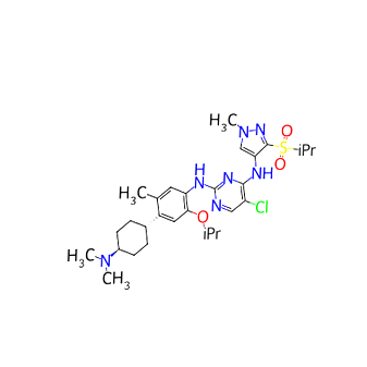 Cc1cc(Nc2ncc(Cl)c(Nc3cn(C)nc3S(=O)(=O)C(C)C)n2)c(OC(C)C)cc1[C@H]1CC[C@H](N(C)C)CC1